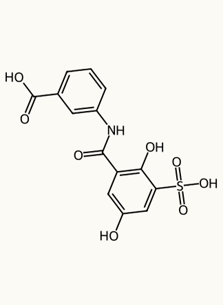 O=C(O)c1cccc(NC(=O)c2cc(O)cc(S(=O)(=O)O)c2O)c1